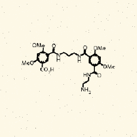 COc1cc(OC)c(C(=O)NCCCNC(=O)c2cc(C(=O)NCCN)c(OC)cc2OC)cc1C(=O)O